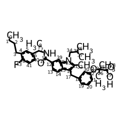 CCCCc1cc([C@H](C)NC(=O)c2ccc3c(Cc4cccc(OC(C)(C)C(=O)O)c4)c(C)n(CC(C)C)c3c2)ccc1F